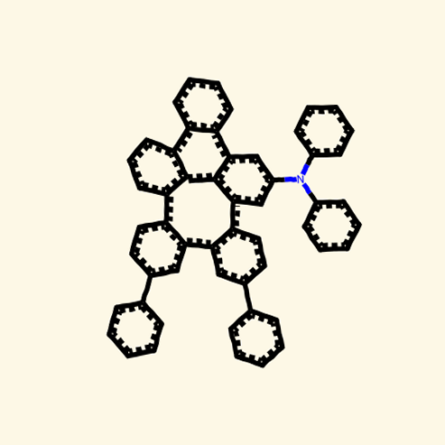 c1ccc(-c2ccc3c(c2)c2cc(-c4ccccc4)ccc2c2cc(N(c4ccccc4)c4ccccc4)cc4c5ccccc5c5cccc3c5c24)cc1